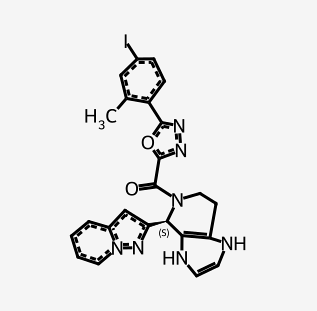 Cc1cc(I)ccc1-c1nnc(C(=O)N2CCC3=C(NC=CN3)[C@H]2c2cc3ccccn3n2)o1